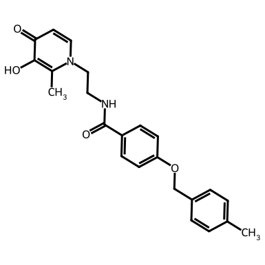 Cc1ccc(COc2ccc(C(=O)NCCn3ccc(=O)c(O)c3C)cc2)cc1